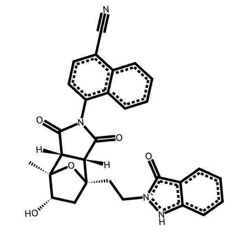 C[C@]12O[C@](CCn3[nH]c4ccccc4c3=O)(C[C@@H]1O)[C@H]1C(=O)N(c3ccc(C#N)c4ccccc34)C(=O)[C@H]12